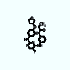 C=CC(=O)Nc1cccc(Nc2nc(Nc3ccc(OC4CCOC4)cc3)ncc2F)c1